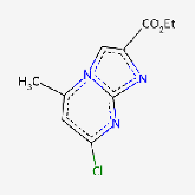 CCOC(=O)c1cn2c(C)cc(Cl)nc2n1